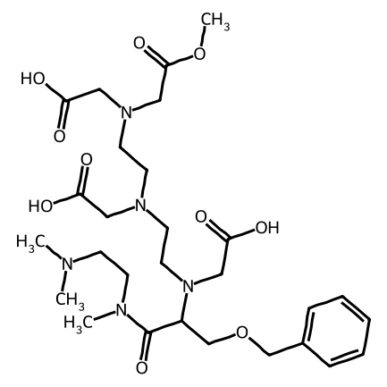 COC(=O)CN(CCN(CCN(CC(=O)O)C(COCc1ccccc1)C(=O)N(C)CCN(C)C)CC(=O)O)CC(=O)O